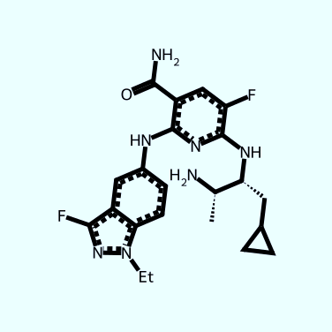 CCn1nc(F)c2cc(Nc3nc(N[C@H](CC4CC4)[C@H](C)N)c(F)cc3C(N)=O)ccc21